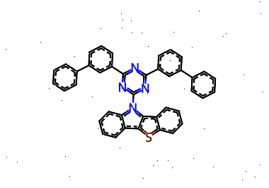 c1ccc(-c2cccc(-c3nc(-c4cccc(-c5ccccc5)c4)nc(-n4c5ccccc5c5sc6ccccc6c54)n3)c2)cc1